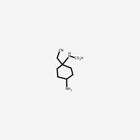 N#CCC1(NC(=O)O)CCC(N)CC1